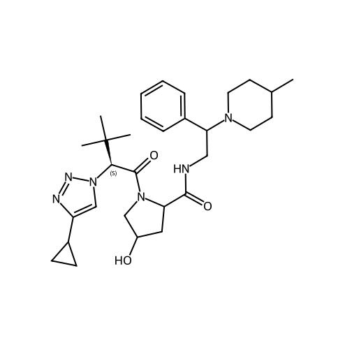 CC1CCN(C(CNC(=O)C2CC(O)CN2C(=O)[C@@H](n2cc(C3CC3)nn2)C(C)(C)C)c2ccccc2)CC1